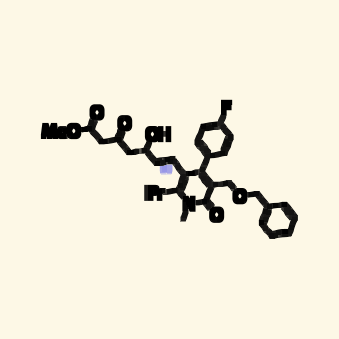 COC(=O)CC(=O)CC(O)/C=C/c1c(-c2ccc(F)cc2)c(COCc2ccccc2)c(=O)n(C)c1C(C)C